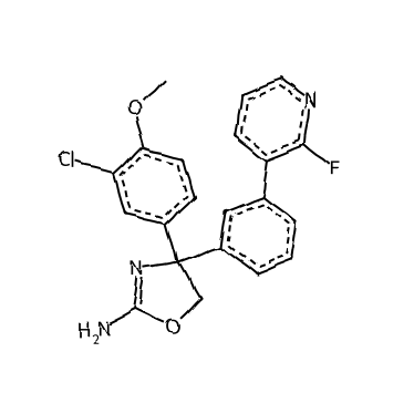 COc1ccc(C2(c3cccc(-c4cccnc4F)c3)COC(N)=N2)cc1Cl